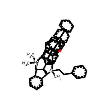 C[Si]1(CCc2ccccc2)C2=C(c3ccc(-c4ccccc4)cc3)[CH](c3ccccc32)[Hf]([CH3])([CH3])[CH]2C(c3ccc(-c4ccccc4)cc3)=C1c1ccccc12